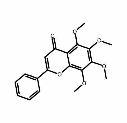 COc1c(OC)c(OC)c2c(=O)cc(-c3ccccc3)oc2c1OC